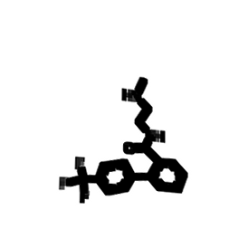 CNCCNC(=O)c1ccccc1-c1ccc(C(F)(F)F)cc1